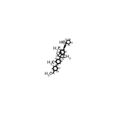 CCc1ccc(-c2ccc(C(CC)(CC)c3ccc(C#CC4(O)CCCC4)c(C)c3)cc2C)cc1